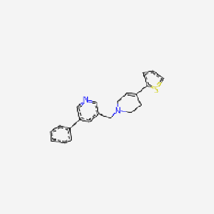 C1=C(c2cccs2)CCN(Cc2cncc(-c3ccccc3)c2)C1